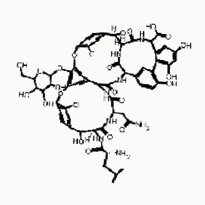 CC(C)C[C@@H](N)C(=O)N[C@@H]1C(=O)NC(CC(N)=O)C(=O)NC2C(=O)NC3C(=O)N[C@H](C(=O)NC(C(=O)O)c4cc(O)cc(O)c4-c4cc3ccc4O)[C@H](O)c3ccc(c(Cl)c3)Oc3cc2cc(c3OC2OC(CO)C(O)C(O)C2O)Oc2ccc(cc2Cl)C1O